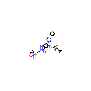 Cc1ccccc1N1CCN(c2ccc(C(=O)NCCCN3C(=O)OCC3(C)C)cc2NC(=O)c2coc(C3CC3)n2)CC1